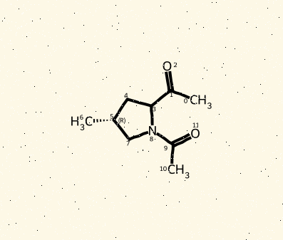 CC(=O)C1C[C@@H](C)CN1C(C)=O